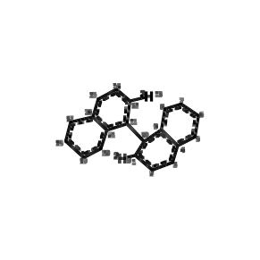 [2H]c1ccc2ccccc2c1-c1c([2H])ccc2ccccc12